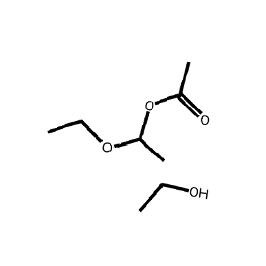 CCO.CCOC(C)OC(C)=O